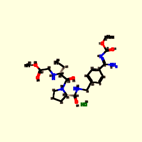 CCCCCCOC(=O)N=C(N)c1ccc(CNC(=O)[C@@H]2CCCN2C(=O)[C@@H](CC(C)C)NCC(=O)OCCC)cc1.Cl